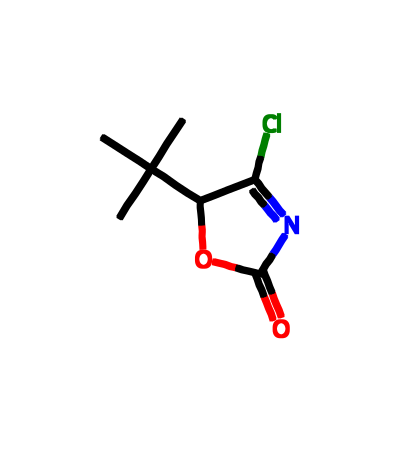 CC(C)(C)C1OC(=O)N=C1Cl